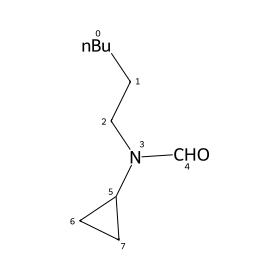 CCCCCCN(C=O)C1CC1